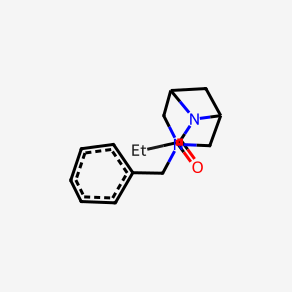 CCC(=O)N1C2CC1CN(Cc1ccccc1)C2